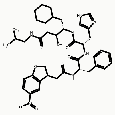 CC(C)CNC(=O)C[C@H](O)[C@H](CC1CCCCC1)NC(=O)[C@H](Cc1c[nH]cn1)NC(=O)[C@H](Cc1ccccc1)NC(=O)CC1COc2ccc([N+](=O)[O-])cc21